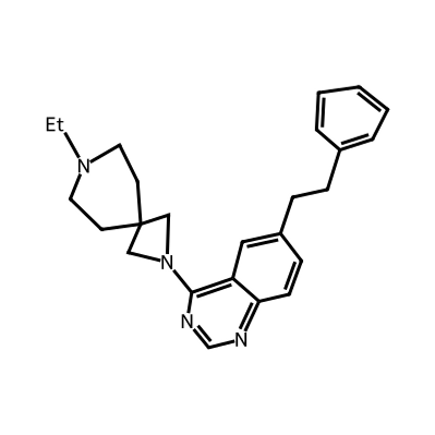 CCN1CCC2(CC1)CN(c1ncnc3ccc(CCc4ccccc4)cc13)C2